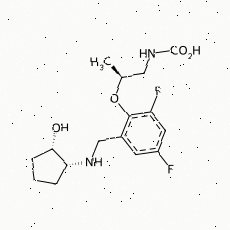 C[C@@H](CNC(=O)O)Oc1c(F)cc(F)cc1CN[C@@H]1CCC[C@@H]1O